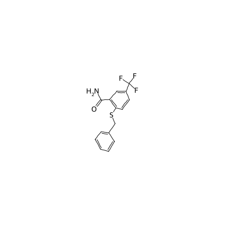 NC(=O)c1cc(C(F)(F)F)ccc1SCc1ccccc1